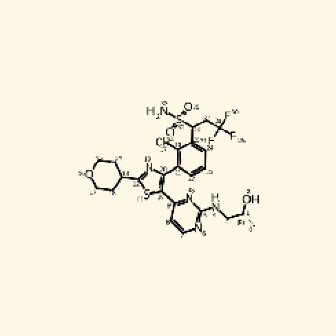 C[C@@H](O)CNc1nccc(-c2sc(C3CCOCC3)nc2-c2cccc(C(CC(F)(F)F)S(N)(=O)=O)c2Cl)n1